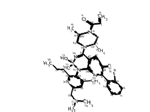 C=CC(=O)N1C[C@H](C)N(C2=NS(O)(O)N(c3c(C)cc(CN(C)C)nc3CCC)c3nc(-c4ccccc4F)c(Cl)cc32)C[C@H]1C